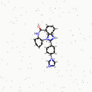 O=C1Nc2ccccc2-n2c(-c3ccc(-n4ccnc4)cc3)nc3cccc1c32